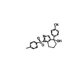 Cc1ccc(S(=O)(=O)n2ncc3c2CCCC3(O)c2ccc(C#N)cc2)cc1